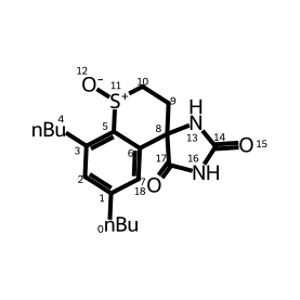 CCCCc1cc(CCCC)c2c(c1)C1(CC[S+]2[O-])NC(=O)NC1=O